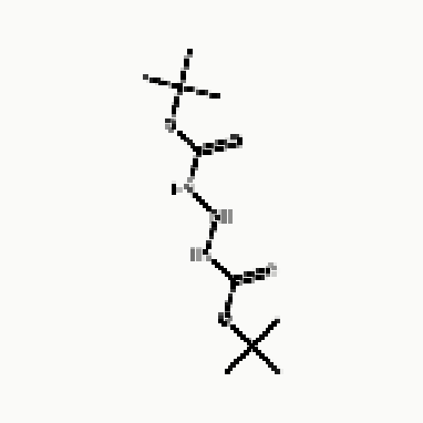 CC(C)(C)OC(=O)NNNC(=O)OC(C)(C)C